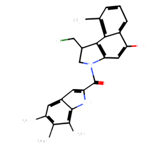 COc1cc2cc(C(=O)N3CC(CCl)c4c3cc(O)c3cccc(C)c43)[nH]c2c(OC)c1OC